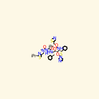 CC(C)c1nc(CN(C)C(=O)N[C@H](C(=O)N[C@@H](Cc2ccccc2)C[C@H](OC(=S)n2ccnc2)[C@H](Cc2ccccc2)NC(=O)OCc2cncs2)C(C)C)cs1